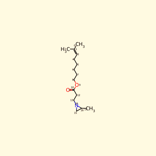 CC(C)=CCCCCCOC(=O)CCN1CC1C